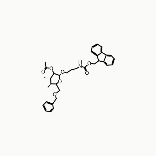 CC(=O)OC1[C@@H](OCCCNC(=O)OCC2c3ccccc3-c3ccccc32)OC(COCc2ccccc2)[C@@H](C)[C@@H]1C